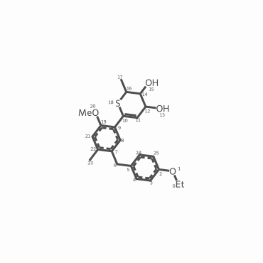 CCOc1ccc(Cc2cc(C3=CC(O)C(O)C(C)S3)c(OC)cc2C)cc1